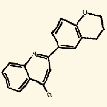 Clc1cc(-c2ccc3c(c2)CCCO3)nc2ccccc12